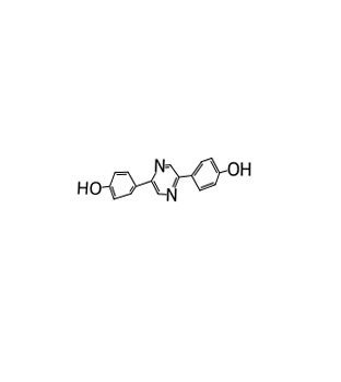 Oc1ccc(-c2cnc(-c3ccc(O)cc3)cn2)cc1